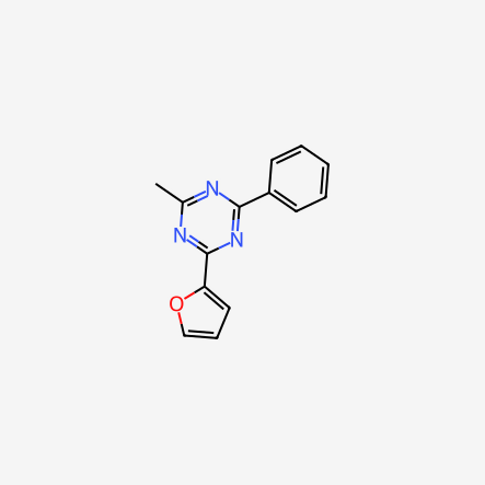 Cc1nc(-c2ccccc2)nc(-c2ccco2)n1